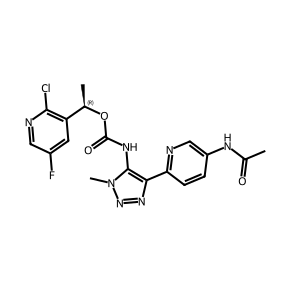 CC(=O)Nc1ccc(-c2nnn(C)c2NC(=O)O[C@H](C)c2cc(F)cnc2Cl)nc1